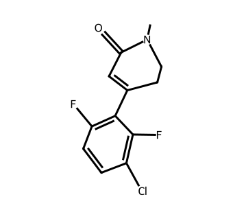 CN1CCC(c2c(F)ccc(Cl)c2F)=CC1=O